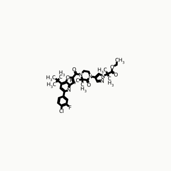 CCOC(=O)C(C)(C)n1cc(N2CCN(C(=O)c3cc4nc(-c5ccc(Cl)c(F)c5)cc(C(C)(C)C)c4o3)C(C)(C)C2=O)cn1